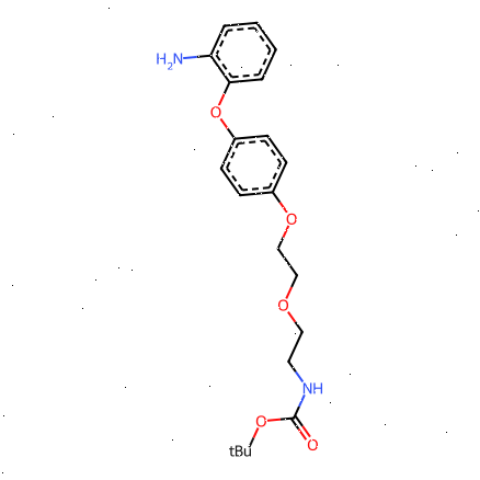 CC(C)(C)OC(=O)NCCOCCOc1ccc(Oc2ccccc2N)cc1